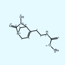 C=C(NCCC1=CCN2CC1N(O)C2=O)OC(C)(C)C